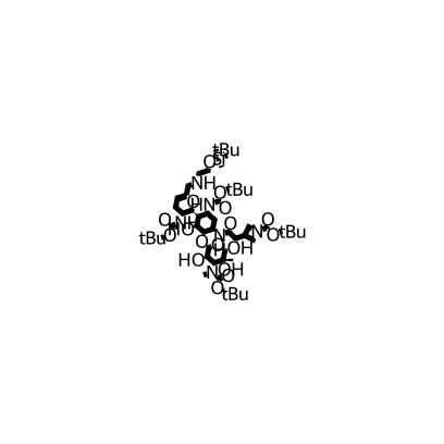 CN(C(=O)OC(C)(C)C)[C@@H]1[C@@H](O)[C@@H](O[C@H]2[C@H](NC(=O)C(O)C3CN(C(=O)OC(C)(C)C)C3)C[C@H](NC(=O)OC(C)(C)C)C([C@H]3OC(CNCCO[Si](C)(C)C(C)(C)C)=CC[C@H]3NC(=O)OC(C)(C)C)[C@@H]2O)OC[C@]1(C)O